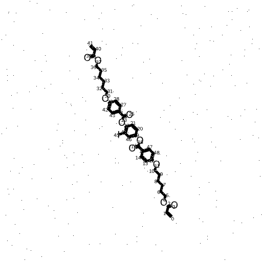 C=CC(=O)OCCCCCCOc1ccc(C(=O)Oc2ccc(OC(=O)c3ccc(OCCCCCCOC(=O)C=C)cc3)c(I)c2)cc1